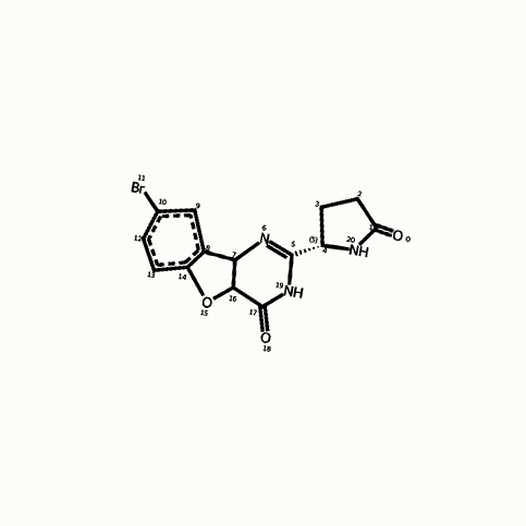 O=C1CC[C@@H](C2=NC3c4cc(Br)ccc4OC3C(=O)N2)N1